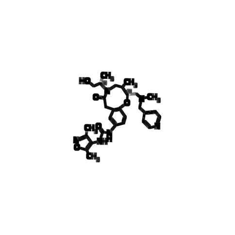 Cc1noc(C)c1NC(=O)Nc1ccc2c(c1)CC(=O)N([C@@H](C)CO)CC(C)[C@H](CN(C)Cc1ccncc1)O2